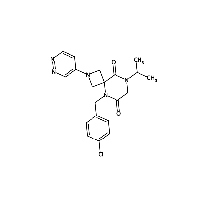 CC(C)N1CC(=O)N(Cc2ccc(Cl)cc2)C2(CN(c3ccnnc3)C2)C1=O